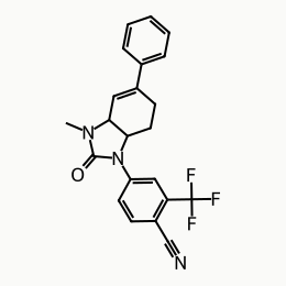 CN1C(=O)N(c2ccc(C#N)c(C(F)(F)F)c2)C2CCC(c3ccccc3)=CC21